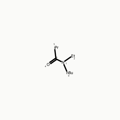 CCCCN(CC)C(=O)C(C)C